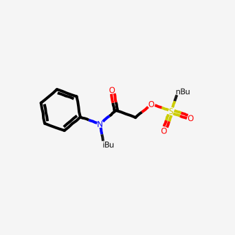 CCCCS(=O)(=O)OCC(=O)N(c1ccccc1)C(C)CC